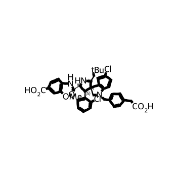 COc1cc(C(=O)O)ccc1NC(=O)[C@@H]1N[C@@H](CC(C)(C)C)[C@@]2(CN(Cc3ccc(CC(=O)O)cc3)c3ccc(Cl)cc32)[C@H]1c1ccccc1Cl